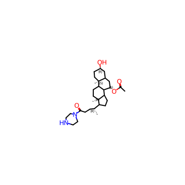 CC(=O)O[C@H]1CC2C[C@H](O)CC[C@]2(C)C2CC[C@@]3(C)C(CCC3[C@H](C)CCC(=O)N3CCNCC3)C21